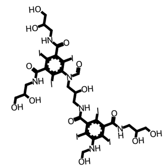 O=CN(CC(O)CNC(=O)c1c(I)c(NCO)c(I)c(C(=O)NCC(O)CO)c1I)c1c(I)c(C(=O)NCC(O)CO)c(I)c(C(=O)NCC(O)CO)c1I